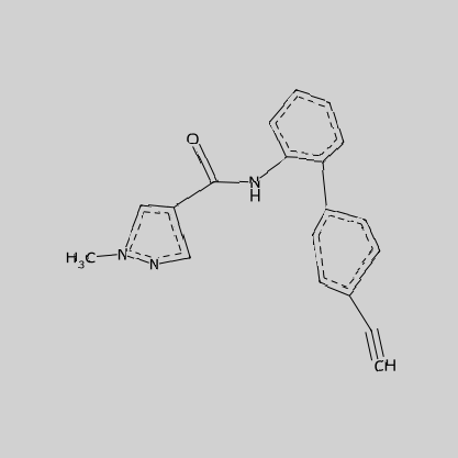 C#Cc1ccc(-c2ccccc2NC(=O)c2cnn(C)c2)cc1